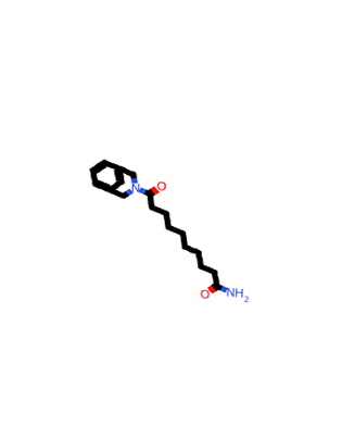 NC(=O)CCCCCCCCC(=O)N1Cc2cccc(c2)C1